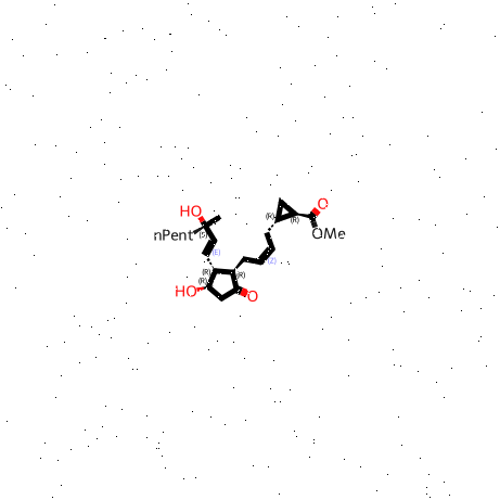 CCCCC[C@](C)(O)/C=C/[C@H]1[C@H](O)CC(=O)[C@@H]1C/C=C\C[C@@H]1C[C@H]1C(=O)OC